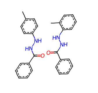 Cc1ccc(NNC(=O)c2ccccc2)cc1.Cc1ccccc1NNC(=O)c1ccccc1